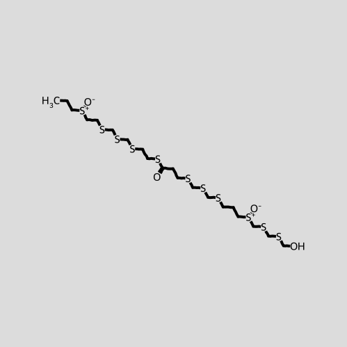 CCC[S+]([O-])CCSCSCSCCSC(=O)CCSCSCSCCC[S+]([O-])CSCSCO